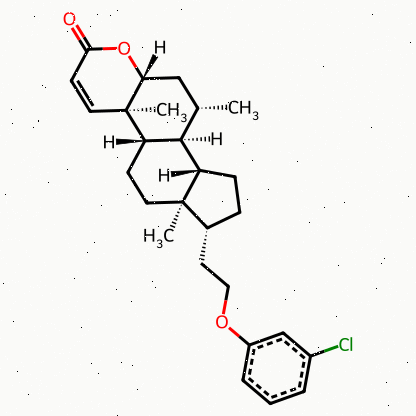 C[C@H]1C[C@H]2OC(=O)C=C[C@]2(C)[C@H]2CC[C@]3(C)[C@@H](CCOc4cccc(Cl)c4)CC[C@H]3[C@H]12